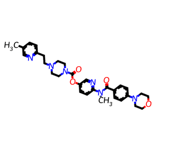 Cc1ccc(CCN2CCN(C(=O)Oc3ccc(N(C)C(=O)c4ccc(N5CCOCC5)cc4)nc3)CC2)nc1